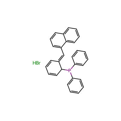 Br.C1=CC(=Cc2cccc3ccccc23)C(P(c2ccccc2)c2ccccc2)C=C1